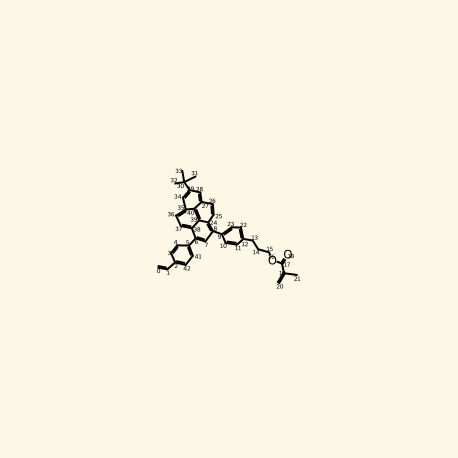 C=Cc1ccc(-c2cc(-c3ccc(CCCOC(=O)C(=C)C)cc3)c3ccc4cc(C(C)(C)C)cc5ccc2c3c54)cc1